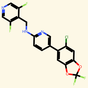 Fc1cncc(F)c1CNc1ccc(-c2cc3c(cc2Cl)OC(F)(F)O3)cn1